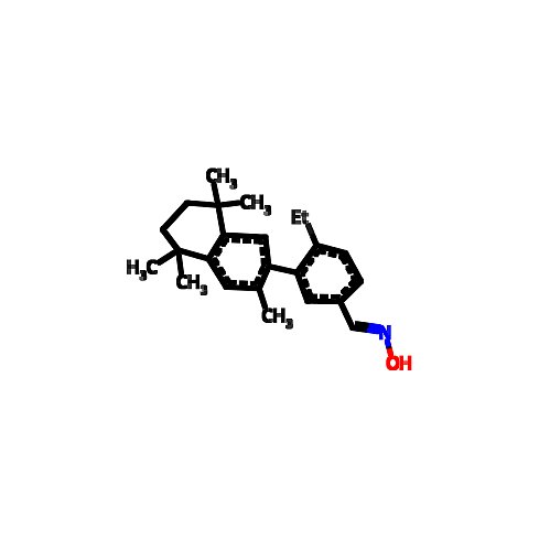 CCc1ccc(/C=N/O)cc1-c1cc2c(cc1C)C(C)(C)CCC2(C)C